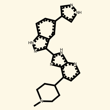 CN1CCC(c2ccnc3[nH]c(-c4n[nH]c5ccc(-c6cn[nH]c6)cc45)nc23)CC1